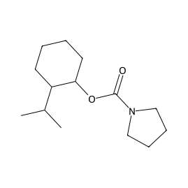 CC(C)C1CCCCC1OC(=O)N1CCCC1